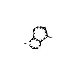 Cn1cnc2c(C=O)cccc21